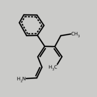 C\C=C(CC)/C(=C\C=C/N)c1ccccc1